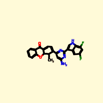 CC1C(c2cc(N)nc(-c3c[nH]c4c(F)cc(F)cc34)n2)=CC=C2C(=O)c3ccccc3OC21